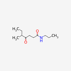 CCCNC(=O)CCC(=O)C(C)CC